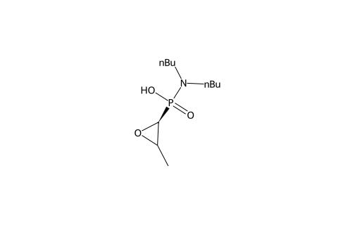 CCCCN(CCCC)P(=O)(O)[C@@H]1OC1C